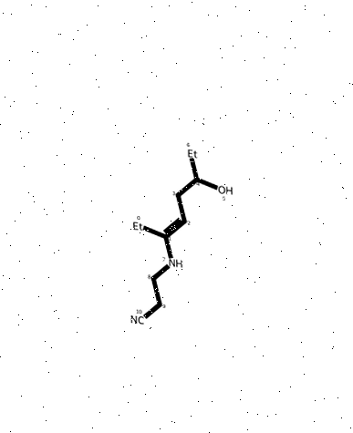 CC/C(=C\CC(O)CC)NCCC#N